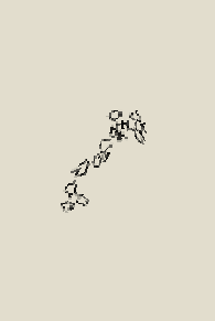 CC1(C)C2=C(C=CCC2)c2c(-c3nc(-c4ccccc4)nc(-c4ccc5c(c4)oc4ccc(-c6cccc(-c7ccc8c9ccccc9c9ccccc9c8c7)c6)cc45)n3)cccc21